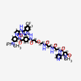 CC(C)N(C)[C@@H]1CC[C@H](N2CC[C@H](Nc3ncnc4ccc(C(F)(F)F)cc34)C2=O)[C@H](NC(=O)C2CCC(NC(=O)CCOCCNC(=O)CCNC(=O)CCNC(=O)[C@H]3CC(=O)N(C)[C@@H]3c3cccnc3)CC2)C1